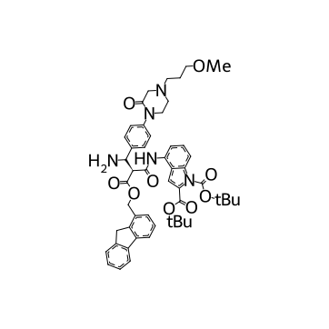 COCCCN1CCN(c2ccc(C(N)[C@@H](C(=O)Nc3cccc4c3cc(C(=O)OC(C)(C)C)n4C(=O)OC(C)(C)C)C(=O)OCc3cccc4c3Cc3ccccc3-4)cc2)C(=O)C1